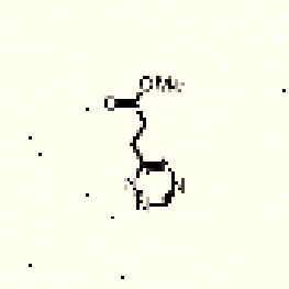 COC(=O)CCc1nncnn1